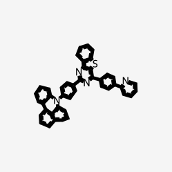 c1ccc(-c2ccc(-c3nc(-c4ccc(N5c6ccccc6-c6cccc7cccc5c67)cc4)nc4c3sc3ccccc34)cc2)nc1